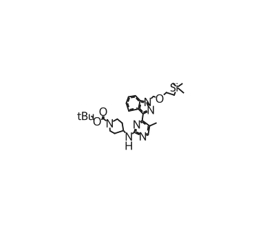 Cc1cnc(NC2CCN(C(=O)OC(C)(C)C)CC2)nc1-c1nn(COCC[Si](C)(C)C)c2ccccc12